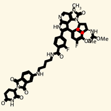 COC(=O)N[C@@H]1CC[C@@H](n2c(=O)n(C)c3cnc4[nH]c(-c5ccc(C(=O)NCCCCNc6ccc7c(c6)C(=O)N(C6CCC(=O)NC6=O)C7=O)c(F)c5)c(-c5ccc(OC)c(F)c5)c4c32)C1